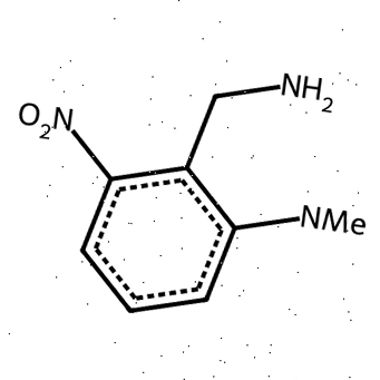 CNc1cccc([N+](=O)[O-])c1CN